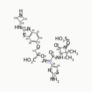 CC1(C)[C@H](NC(=O)/C(=N\O[C@@H](COc2ccc3nc(NC4CNC4)sc3c2)C(=O)O)c2csc(N)n2)C(=O)N1OS(=O)(=O)O